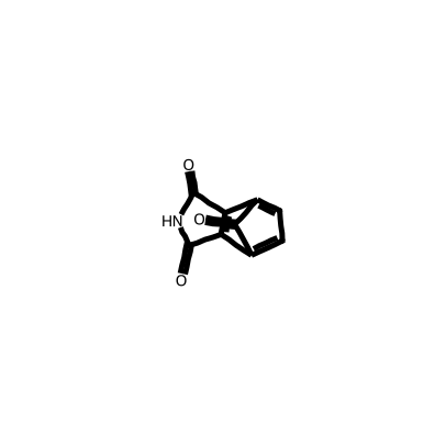 O=c1[nH]c(=O)c2c3c(=O)c(c1=2)=CC=3